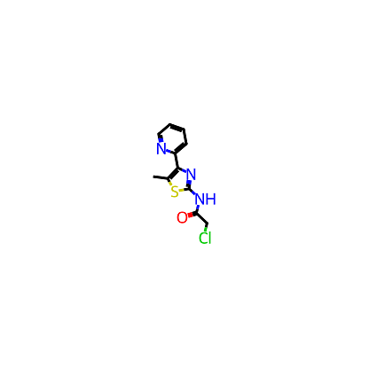 Cc1sc(NC(=O)CCl)nc1-c1ccccn1